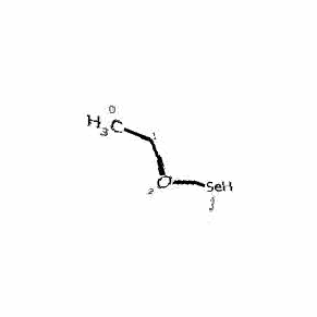 CCO[SeH]